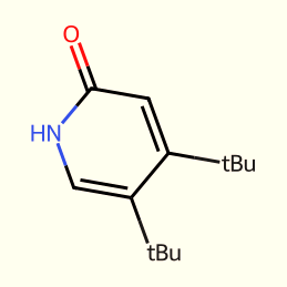 CC(C)(C)c1c[nH]c(=O)cc1C(C)(C)C